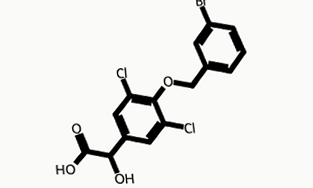 O=C(O)C(O)c1cc(Cl)c(OCc2cccc(Br)c2)c(Cl)c1